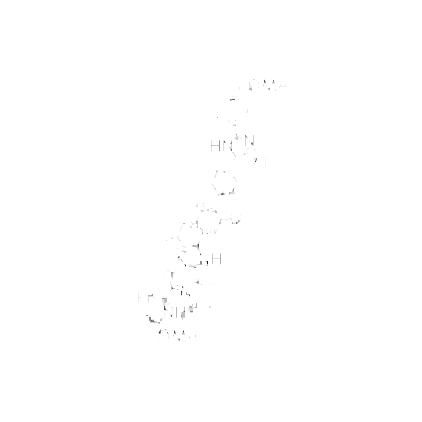 COC[C@@H]1CC[C@H](c2nc(Cl)c(-c3ccc4c(c3)COc3cc5c(ccc6nc([C@@H]7CC[C@H](C)N7C(=O)[C@@H](NC(=O)OC)C(C)C)[nH]c65)cc3-4)[nH]2)C1